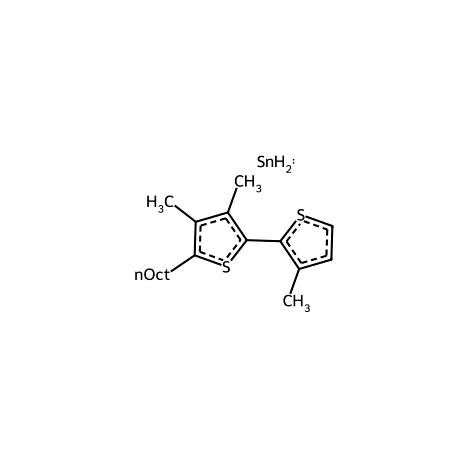 CCCCCCCCc1sc(-c2sccc2C)c(C)c1C.[SnH2]